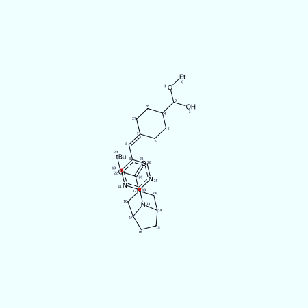 CCOC(O)C1CCC(=Cc2cnc(N3C4CCC3CN(C(=O)OC(C)(C)C)C4)nc2)CC1